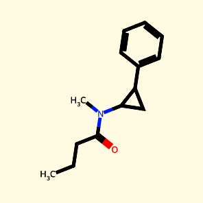 CCCC(=O)N(C)C1CC1c1ccccc1